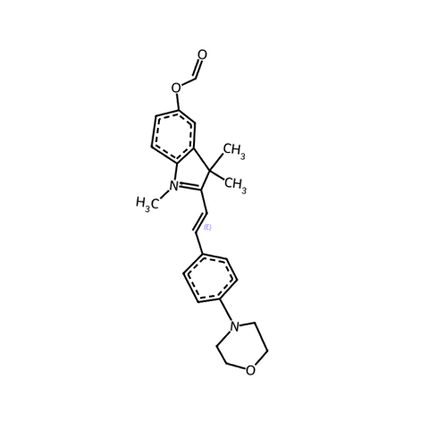 C[N+]1=C(/C=C/c2ccc(N3CCOCC3)cc2)C(C)(C)c2cc(OC=O)ccc21